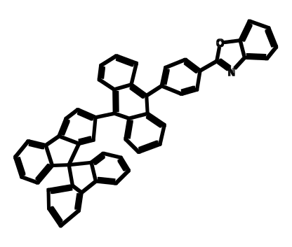 c1ccc2c(c1)-c1ccccc1C21c2ccccc2-c2ccc(-c3c4ccccc4c(-c4ccc(-c5nc6ccccc6o5)cc4)c4ccccc34)cc21